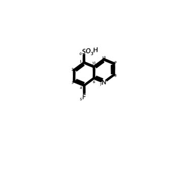 O=S(=O)(O)c1ccc(F)c2ncccc12